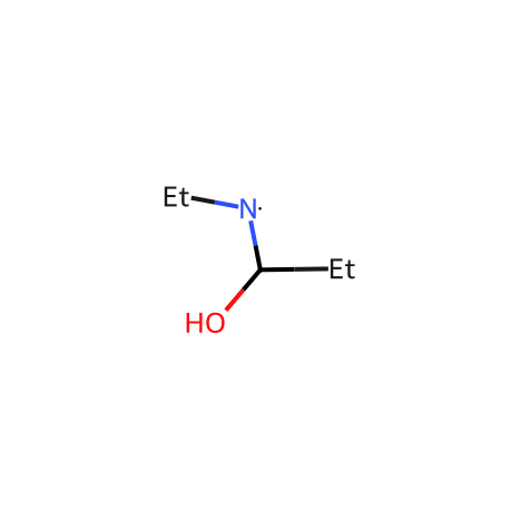 CC[N]C(O)CC